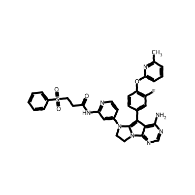 Cc1cccc(Oc2ccc(-c3c4n(c5ncnc(N)c35)CCN4c3ccnc(NC(=O)CCS(=O)(=O)c4ccccc4)c3)cc2F)n1